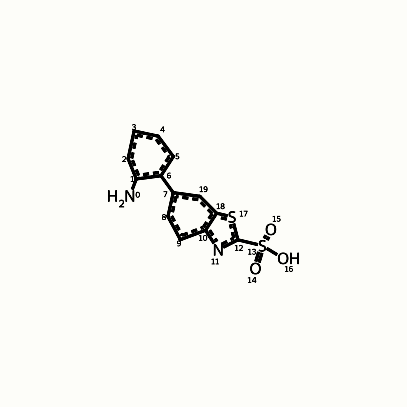 Nc1ccccc1-c1ccc2nc(S(=O)(=O)O)sc2c1